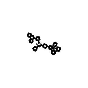 c1ccc(-c2cc(-c3ccc(-c4ccc([Si]5(c6ccccc6)c6ccccc6-c6ccccc65)cc4)cc3)nc(-c3cccc(-c4cc5ccccc5c5ccccc45)c3)n2)cc1